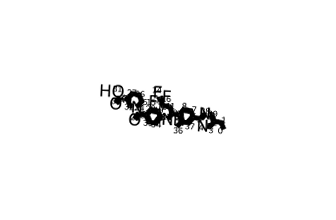 CCc1cnc(-c2ccc(C(CCC(F)(F)F)Nc3ccc(C(=O)N4CCC[C@@H](C(=O)O)C4)cc3)c(C)c2)nc1